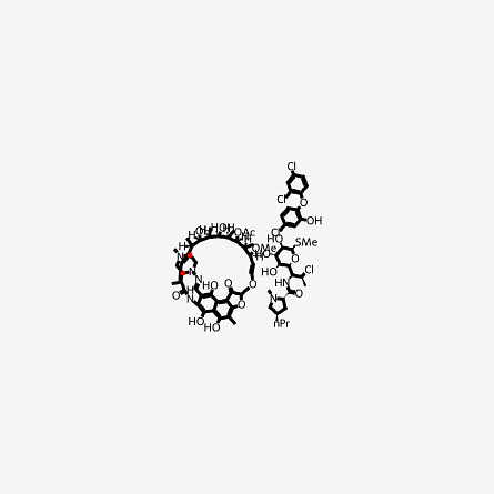 CCC[C@@H]1C[C@@H](C(=O)N[C@@H]([C@H]2O[C@H](SC)[C@H](O)[C@@H](O)[C@H]2O)[C@H](C)Cl)N(C)C1.CO[C@H]1/C=C/O[C@@]2(C)Oc3c(C)c(O)c4c(O)c(c(/C=N/N5CCN(C)CC5)c(O)c4c3C2=O)NC(=O)/C(C)=C\C=C\[C@H](C)[C@H](O)[C@@H](C)[C@@H](O)[C@@H](C)[C@H](OC(C)=O)[C@@H]1C.Oc1cc(Cl)ccc1Oc1ccc(Cl)cc1Cl